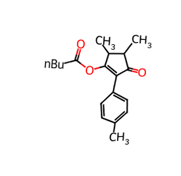 CCCCC(=O)OC1=C(c2ccc(C)cc2)C(=O)C(C)C1C